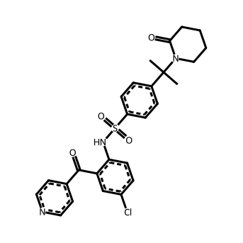 CC(C)(c1ccc(S(=O)(=O)Nc2ccc(Cl)cc2C(=O)c2ccncc2)cc1)N1CCCCC1=O